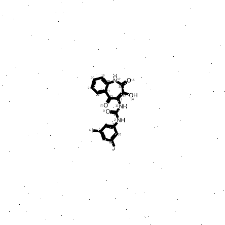 O=C(Nc1cc(I)cc(I)c1)Nc1c(O)c(=O)[nH]c2ccccc2c1=O